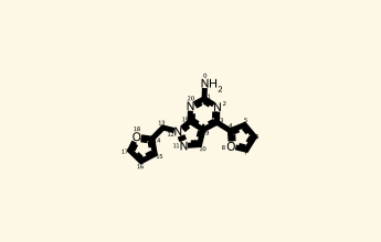 Nc1nc(-c2ccco2)c2cnn(Cc3ccco3)c2n1